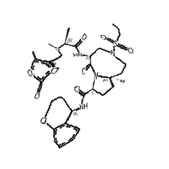 CCS(=O)(=O)N1CC[C@H]2CC[C@@H](C(=O)N[C@@H]3CCOc4ccccc43)N2C(=O)[C@@H](NC(=O)[C@H](C)N(C)Cc2oc(=O)oc2C)C1